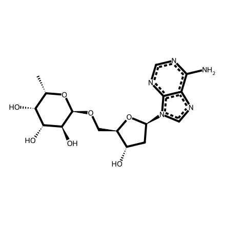 C[C@@H]1O[C@@H](OC[C@H]2O[C@@H](n3cnc4c(N)ncnc43)C[C@@H]2O)[C@@H](O)[C@H](O)[C@@H]1O